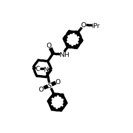 CC(C)Oc1ccc(NC(=O)C2CC3CCC2N(S(=O)(=O)c2ccccc2)C3)cc1